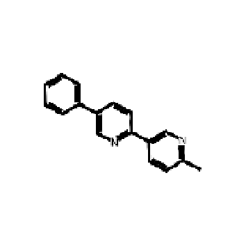 Cc1ccc(-c2ccc(-c3ccccc3)cn2)cn1